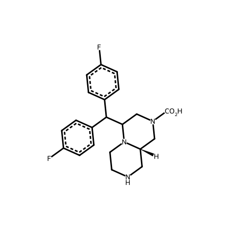 O=C(O)N1CC(C(c2ccc(F)cc2)c2ccc(F)cc2)N2CCNC[C@H]2C1